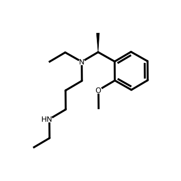 CCNCCCN(CC)[C@@H](C)c1ccccc1OC